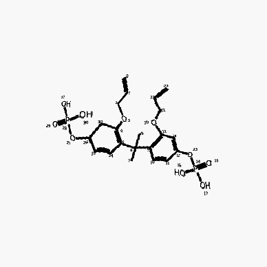 C=CCOC1=C(C(C)(C)c2ccc(OP(=O)(O)O)cc2OCC=C)C=CC(OP(=O)(O)O)C1